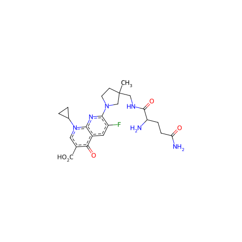 CC1(CNC(=O)C(N)CCC(N)=O)CCN(c2nc3c(cc2F)c(=O)c(C(=O)O)cn3C2CC2)C1